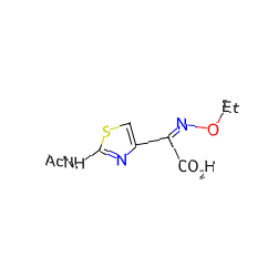 CCON=C(C(=O)O)c1csc(NC(C)=O)n1